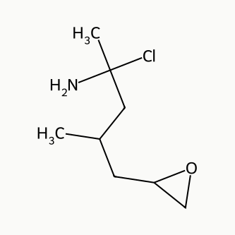 CC(CC1CO1)CC(C)(N)Cl